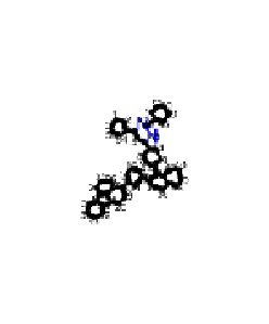 c1ccc(-c2cc(-c3ccc(-c4c(-c5cccc(-c6ccc7c8c(cccc68)-c6ccccc6-7)c5)ccc5ccccc45)cc3)nc(-c3ccccc3)n2)cc1